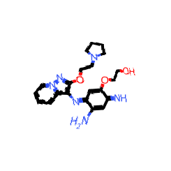 N=C1C=C(N)/C(=N/c2c(OCCN3CCCC3)nn3ccccc23)C=C1OCCO